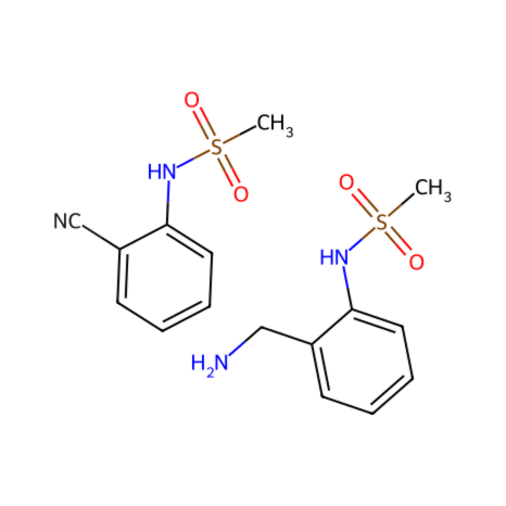 CS(=O)(=O)Nc1ccccc1C#N.CS(=O)(=O)Nc1ccccc1CN